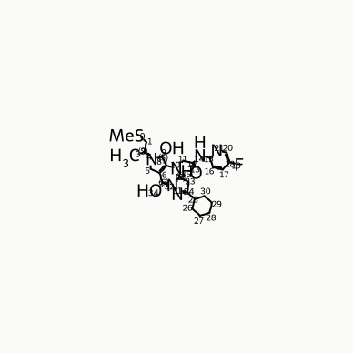 CSC[C@H](C)N1CC2=C([C@@H]1O)N(CC(=O)Nc1ccc(F)cn1)[C@@H]1CC(C3CCCCC3)=NN1[C@H]2O